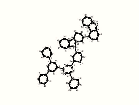 c1ccc(-c2cc(-c3ccccc3)cc(-c3nc(-c4ccccc4)nc(-c4cccc(-n5c6ccccc6c6ccc(-c7cccc8oc9ccccc9c78)cc65)c4)n3)c2)cc1